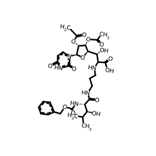 CC(=O)O[C@H]1[C@@H](OC(C)=O)[C@H](n2ccc(=O)[nH]c2=O)O[C@@H]1[C@H](O)C(NCCCNC(=O)[C@@H](NC(=O)OCc1ccccc1)[C@@H](O)C(C)C)C(=O)O